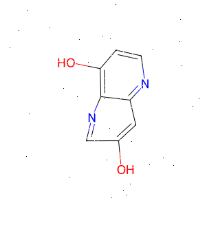 Oc1cnc2c(O)ccnc2c1